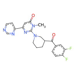 Cn1c(N2CCCC(C(=O)c3ccc(F)c(F)c3)C2)nc(-c2ccncn2)cc1=O